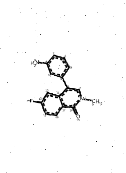 Cn1cc(-c2cccc(N)c2)c2cc(F)ccc2c1=O